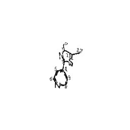 CC1N=C(c2ccncc2)SC1C